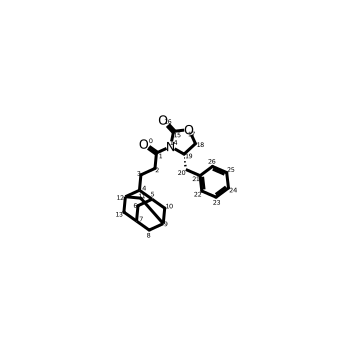 O=C(CCC1C2CC3CC(C2)CC1C3)N1C(=O)OC[C@@H]1Cc1ccccc1